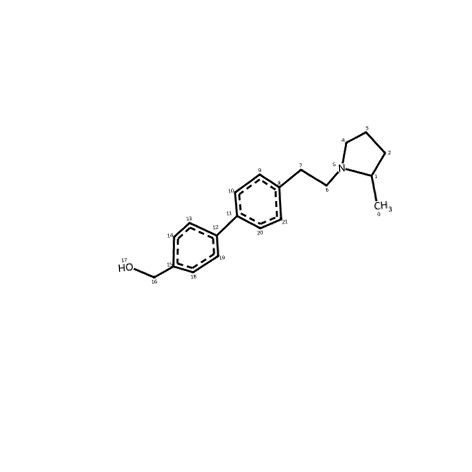 CC1CCCN1CCc1ccc(-c2ccc(CO)cc2)cc1